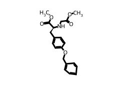 COC(=O)CN[C@@H](Cc1ccc(OCc2ccccc2)cc1)C(=O)OC